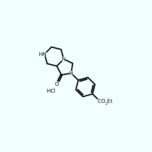 CCOC(=O)c1ccc(N2CN3CCNCC3C2=O)cc1.Cl